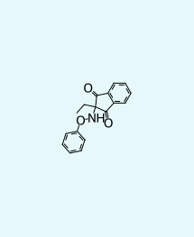 CCC1(NOc2ccccc2)C(=O)c2ccccc2C1=O